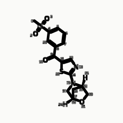 CS(=O)(=O)c1cccc(C(=O)c2cnc(N3C[C@@H]4C[C@H]3CO4)s2)c1